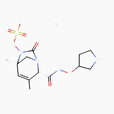 CC1=C[C@@H]2CN(C(=O)N2OS(=O)(=O)[O-])[C@@H]1C(=O)NOC1CCNC1.[Na+]